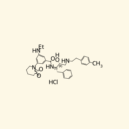 CCNc1cc(C(=O)N[C@@H](Cc2ccccc2)[C@H](O)CNCCc2ccc(C)cc2)cc(N2CCCCS2(=O)=O)c1.Cl